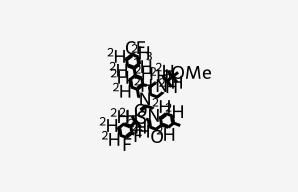 [2H]c1c([2H])c(F)c(F)c(C([2H])([2H])Sc2c([2H])c(=O)c3c([2H])c(C)c([2H])c([2H])c3n2CC(=O)N(Cc2c([2H])c([2H])c(-c3c([2H])c([2H])c(C(F)(F)F)c([2H])c3[2H])c([2H])c2[2H])C2CCN(C([2H])([2H])C([2H])([2H])OC)CC2)c1[2H]